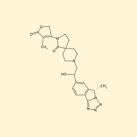 CC1=C(N2CCC3(CCN(CC(O)c4ccc5c(c4)[C@H](C)n4nnnc4-5)CC3)C2=O)COC1=O